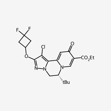 CCOC(=O)c1cn2c(cc1=O)-c1c(Cl)c(OC3CC(F)(F)C3)nn1C[C@H]2C(C)(C)C